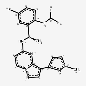 C[C@@H](Nc1ccn2ncc(-c3ccn(C)n3)c2n1)c1cc(F)ccc1OC(F)F